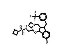 O=S(=O)(NCCOC1c2cc(F)ccc2C(Cc2cccc(C(F)(F)F)c2)C1CN1CCC1)C1CCC1